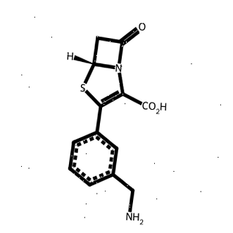 NCc1cccc(C2=C(C(=O)O)N3C(=O)C[C@H]3S2)c1